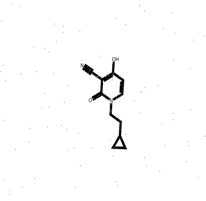 N#Cc1c(O)ccn(CCC2CC2)c1=O